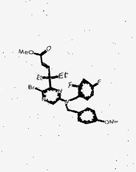 CCC(/C=C/C(=O)OC)(CC)c1nc(N(Cc2ccc(OC)cc2)c2ccc(F)cc2F)cnc1Br